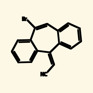 N#C/C=C1/c2ccccc2C=C(Br)c2ccccc21